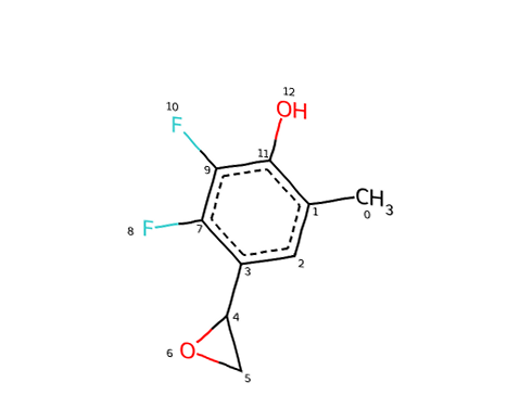 Cc1cc(C2CO2)c(F)c(F)c1O